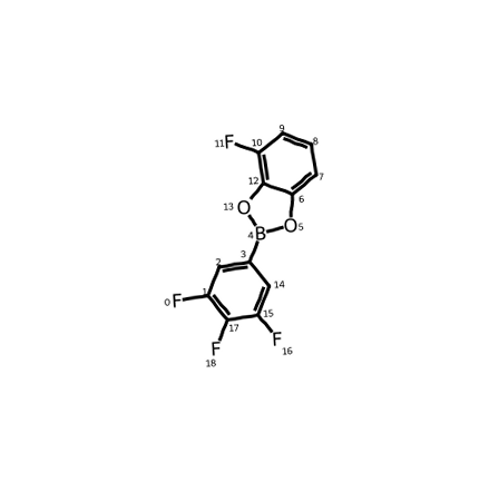 Fc1cc(B2Oc3cccc(F)c3O2)cc(F)c1F